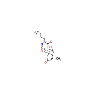 CC1=CC(=O)CC(C)(C)C1.CCCCN(N=C=O)C(=O)O